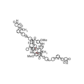 COc1cc(C(=O)NN2CCC(N3CC4(CCN(c5cccc6c5n(C)c(=O)n6C5CCC(=O)NC5=O)CC4)C3)CC2)ccc1Nc1ncc2c(n1)N(C(C)CCN1C(=O)C(F)(F)CN(C3CCCC3)c3nc(Nc4ccc(C(=O)NC5CC6(CCN(CC7CCN(c8cccc(N9CCC%10(CCC(=O)NC%10=O)C9)n8)CC7)CC6)C5)cc4OC)ncc31)CC(F)(F)C(=O)N2C